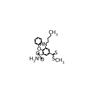 CCCCNc1cc(C(=S)SC)cc(S(N)(=O)=O)c1Oc1ccccc1